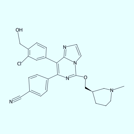 CN1CCC[C@@H](COc2nc(-c3ccc(C#N)cc3)c(-c3ccc(CO)c(Cl)c3)c3nccn23)C1